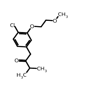 COCCOc1cc(CC(=O)C(C)C)ccc1Cl